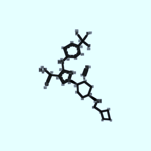 N#C[C@@H]1C[C@@H](NCC2CCC2)CC[C@H]1n1cc(C(N)=O)c(Nc2ccc(C(F)(F)F)cc2)n1